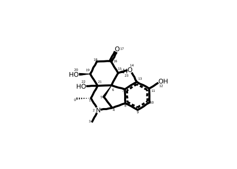 C[C@H]1N(C)C2C[C@]34c5c2ccc(O)c5O[C@H]3C(=O)C[C@H](O)C14O